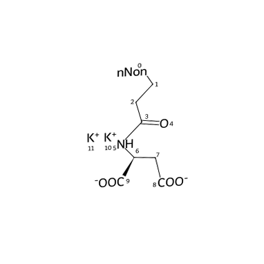 CCCCCCCCCCCC(=O)N[C@@H](CC(=O)[O-])C(=O)[O-].[K+].[K+]